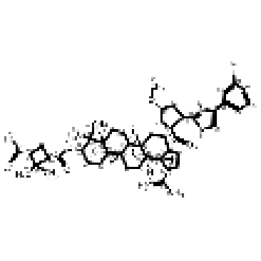 C=C(C)[C@@H]1CC[C@]2(C(=O)N3C[C@H](OC)C[C@H]3c3nc(-c4cccc(F)c4)c[nH]3)CC[C@]3(C)[C@H](CC[C@@H]4[C@@]5(C)CC[C@H](OC(=O)[C@H]6C[C@@H](C(=O)O)C6(C)C)C(C)(C)[C@@H]5CC[C@]43C)[C@@H]12